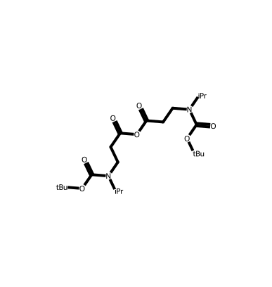 CC(C)N(CCC(=O)OC(=O)CCN(C(=O)OC(C)(C)C)C(C)C)C(=O)OC(C)(C)C